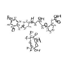 O=C(O)C(F)(F)F.O=C(O)C(F)(F)F.O=C(O)Cc1ccccc1OC[C@@H](O)CNC1CCN(Cc2ccc(F)cc2Cl)CC1